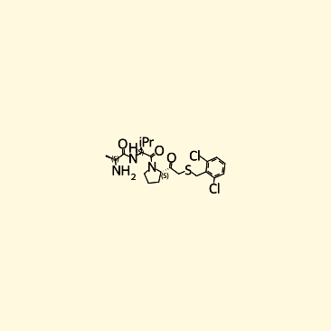 CC(C)[C@H](NC(=O)[C@H](C)N)C(=O)N1CCC[C@H]1C(=O)CSCc1c(Cl)cccc1Cl